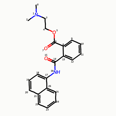 CN(C)CCOC(=O)c1ccccc1C(=O)Nc1cccc2ccccc12